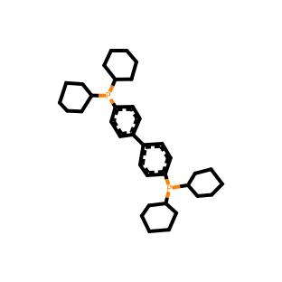 c1cc(P(C2CCCCC2)C2CCCCC2)ccc1-c1ccc(P(C2CCCCC2)C2CCCCC2)cc1